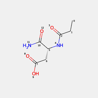 CCC(=O)N[C@H](CC(=O)O)C(N)=O